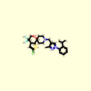 Cc1nn(-c2ccccc2C(C)C)cc1CN1CCC2(CC1)OCC(F)(F)C1C=C(Cl)SC12